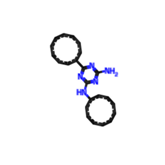 Nc1nc(Nc2ccccccccc2)nc(-c2ccccccccc2)n1